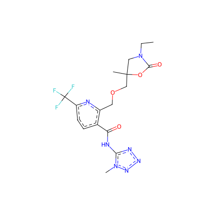 CCN1CC(C)(COCc2nc(C(F)(F)F)ccc2C(=O)Nc2nnnn2C)OC1=O